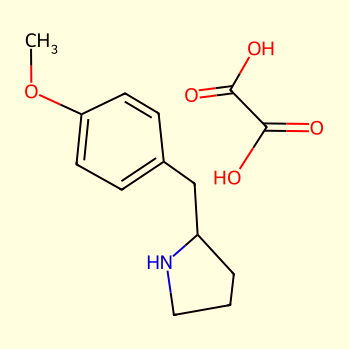 COc1ccc(CC2CCCN2)cc1.O=C(O)C(=O)O